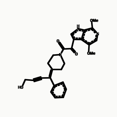 COc1ncc(OC)c2c(C(=O)C(=O)N3CCC(=C(C#CCO)c4ccccc4)CC3)c[nH]c12